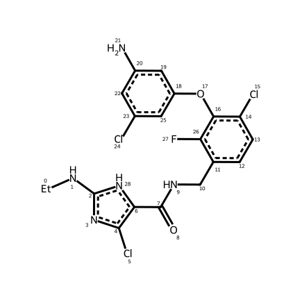 CCNc1nc(Cl)c(C(=O)NCc2ccc(Cl)c(Oc3cc(N)cc(Cl)c3)c2F)[nH]1